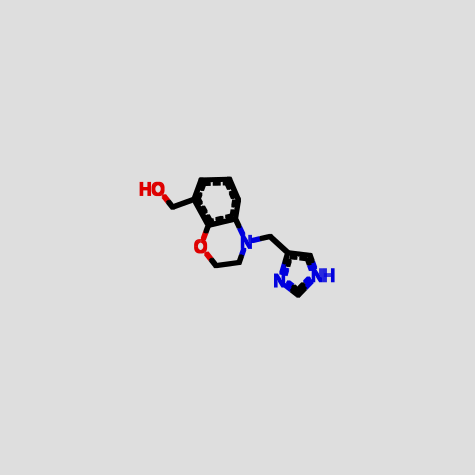 OCc1cccc2c1OCCN2Cc1c[nH]cn1